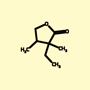 CCC1(C)C(=O)OCC1C